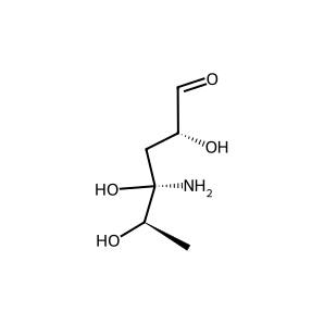 C[C@@H](O)[C@@](N)(O)C[C@@H](O)C=O